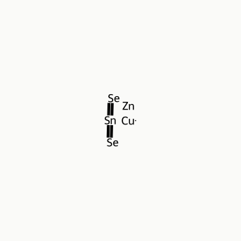 [Cu].[Se]=[Sn]=[Se].[Zn]